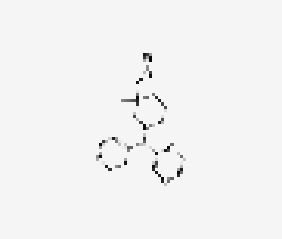 CCOCC1(C)CCCN(C(C2=CC=CCC2)C2=COC=CO2)C1